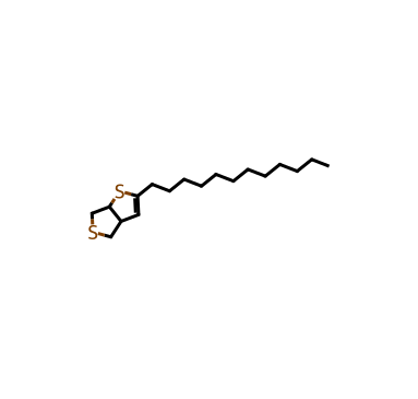 CCCCCCCCCCCCC1=CC2CSCC2S1